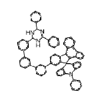 c1ccc(C2=NC(c3ccccc3)NC(c3cccc(-c4cccc(-c5cccc(-c6ccc7c(c6)C6(c8ccccc8N(c8ccccc8)c8ccccc86)c6c-7c7ccccc7c7ccccc67)c5)c4)c3)N2)cc1